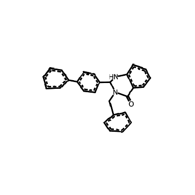 O=C1c2ccccc2NC(c2ccc(-c3ccccc3)cc2)N1Cc1ccccc1